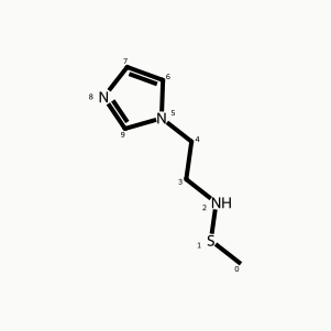 CSNCCn1ccnc1